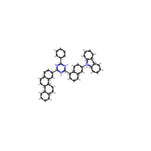 c1ccc(-c2nc(-c3ccc4ccc5c6ccccc6ccc5c4c3)nc(-c3cccc4cc(-n5c6ccccc6c6ccccc65)ccc34)n2)cc1